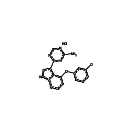 Cl.Nc1cc(-c2c[nH]c3nccc(Oc4cccc(Cl)c4)c23)ncn1